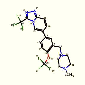 CN1CCN(Cc2cc(-c3ccc4nnc(C(F)(F)F)n4c3)ccc2OC(F)(F)F)CC1